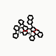 c1ccc(N(c2ccc(-n3c4ccccc4c4ccccc43)cc2)c2cccc(-c3ccc4ccccc4c3)c2-c2ccc3sc4ccccc4c3c2)c(-c2cccc3ccccc23)c1